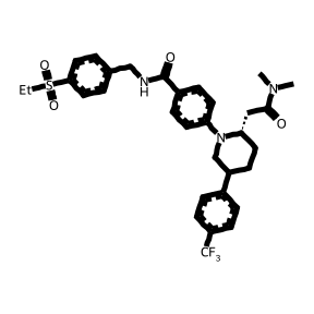 CCS(=O)(=O)c1ccc(CNC(=O)c2ccc(N3CC(c4ccc(C(F)(F)F)cc4)CC[C@H]3CC(=O)N(C)C)cc2)cc1